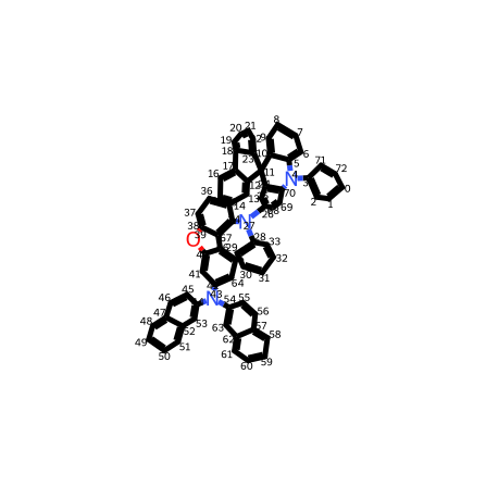 c1ccc(N2c3ccccc3C3(c4ccccc4-c4ccccc43)c3cc(N(c4ccccc4)c4cccc5oc6cc(N(c7ccc8ccccc8c7)c7ccc8ccccc8c7)ccc6c45)ccc32)cc1